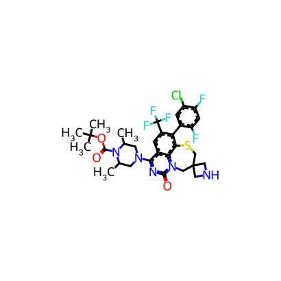 CC1CN(c2nc(=O)n3c4c(c(-c5cc(Cl)c(F)cc5F)c(C(F)(F)F)cc24)SCC2(CNC2)C3)CC(C)N1C(=O)OC(C)(C)C